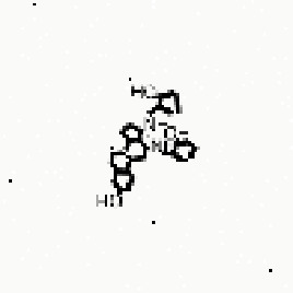 C[C@]12C(CC[C@@H]1NCc1ccccc1O)C1CCc3cc(O)ccc3C1C[C@H]2NCc1ccccc1O